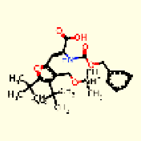 C[SiH](C)OCc1c(C=C(NC(=O)OCc2ccccc2)C(=O)O)oc(C(C)(C)C)c1C(C)(C)C